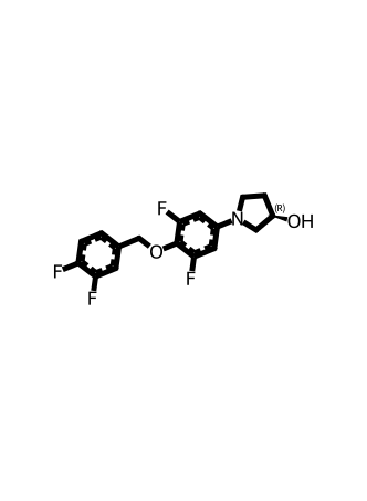 O[C@@H]1CCN(c2cc(F)c(OCc3ccc(F)c(F)c3)c(F)c2)C1